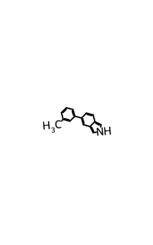 Cc1cccc(-c2ccc3c[nH]cc3c2)c1